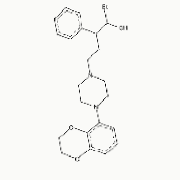 CCC(O)C(CCN1CCN(c2cccc3c2OCCO3)CC1)c1ccccc1